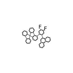 Fc1cc(-c2cccc3c2-c2ccccc2C32c3ccccc3-c3ccccc32)c(-c2cc3ccccc3c3ccccc23)cc1F